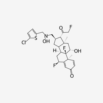 C[C@]12C[C@H](O)[C@@]3(F)[C@@H](C[C@H](F)C4=CC(=O)C=C[C@@]43C)C1C[C@@H](CN(O)Cc1ccc(Cl)s1)[C@@H]2C(=O)CF